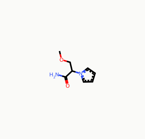 COCC(C(N)=O)n1cccc1